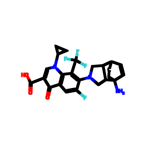 NC12C=CC(CC1)C1CN(c3c(F)cc4c(=O)c(C(=O)O)cn(C5CC5)c4c3C(F)(F)F)CC12